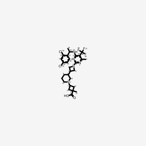 Cc1nc(N2CC(C3CCCN(C4CC(C)(C(=O)O)C4)C3)C2)nc(NC(C)c2ccc(Cl)cc2Cl)c1C(F)(F)F